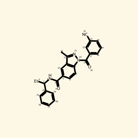 CCC(NC(=O)c1ccc2c(c1)c(C)nn2C(=O)c1cccc(C#N)c1)c1ccccc1